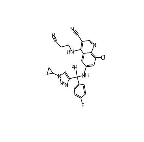 [2H]C(Nc1cc(Cl)c2ncc(C#N)c(NCCC#N)c2c1)(c1ccc(F)cc1)c1cn(C2CC2)nn1